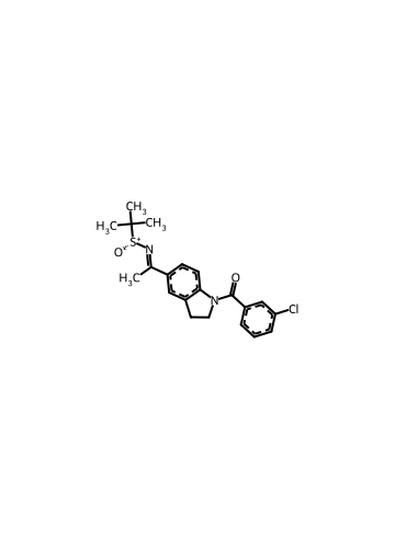 C/C(=N\[S@+]([O-])C(C)(C)C)c1ccc2c(c1)CCN2C(=O)c1cccc(Cl)c1